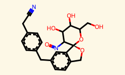 N#CCc1ccc(Cc2ccc3c(c2)[C@@]2(OC3)OC(CO)C(O)C(O)C2N=O)cc1